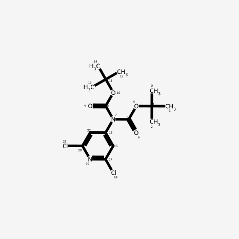 CC(C)(C)OC(=O)N(C(=O)OC(C)(C)C)c1cc(Cl)nc(Cl)c1